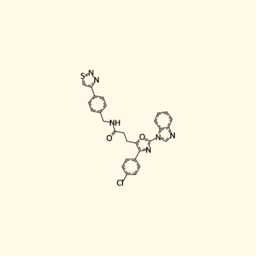 O=C(CCc1oc(-n2cnc3ccccc32)nc1-c1ccc(Cl)cc1)NCc1ccc(-c2csnn2)cc1